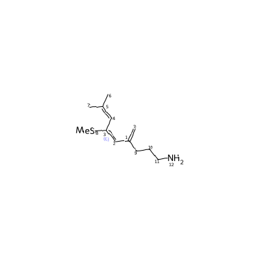 C=C(/C=C(\C=C(C)C)SC)CCCN